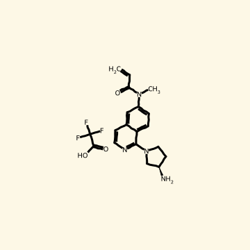 C=CC(=O)N(C)c1ccc2c(N3CC[C@@H](N)C3)nccc2c1.O=C(O)C(F)(F)F